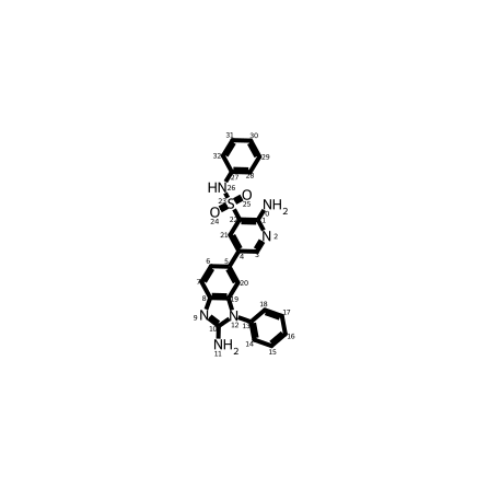 Nc1ncc(-c2ccc3nc(N)n(-c4ccccc4)c3c2)cc1S(=O)(=O)Nc1ccccc1